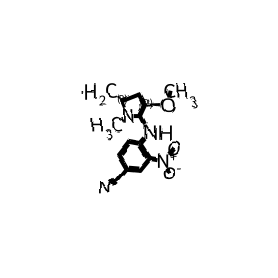 [CH2][C@@H]1C[C@@H](OC)C(Nc2ccc(C#N)cc2[N+](=O)[O-])N1C